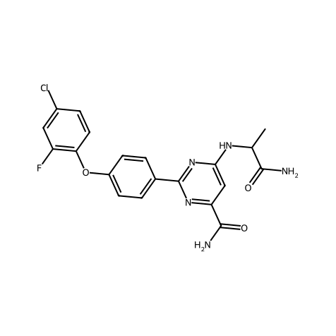 CC(Nc1cc(C(N)=O)nc(-c2ccc(Oc3ccc(Cl)cc3F)cc2)n1)C(N)=O